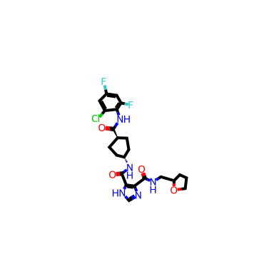 O=C(NCC1CCCO1)c1nc[nH]c1C(=O)N[C@H]1CC[C@H](C(=O)Nc2c(F)cc(F)cc2Cl)CC1